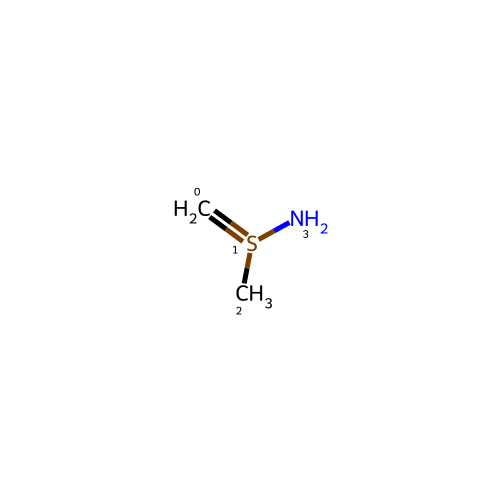 C=S(C)N